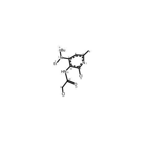 CCCCN(CC)c1cc(C)nc(Cl)c1NC(=O)CCl